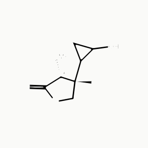 C=C1OC[C@@](O)(C2CC2O)[C@H]1OC